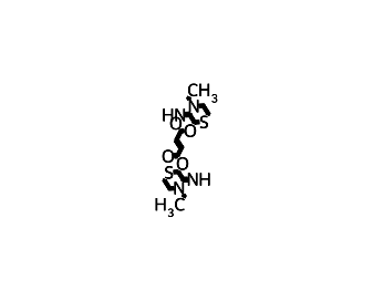 CCN1CCSC(OC(=O)/C=C/C(=O)OC2SCCN(CC)C2=N)C1=N